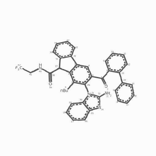 CCCCc1c2c(cc(C(=O)c3ccccc3-c3ccccc3)c1-n1c(N)nc3ccccc31)-c1ccccc1C2C(=O)NCC(F)(F)F